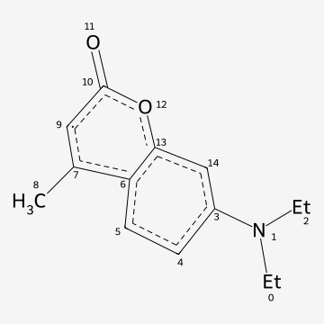 CCN(CC)c1ccc2c(C)[c]c(=O)oc2c1